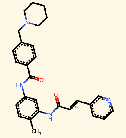 Cc1ccc(NC(=O)c2ccc(CN3CCCCC3)cc2)cc1NC(=O)/C=C/c1cccnc1